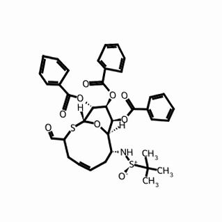 CC(C)(C)[S@@+]([O-])N[C@@H]1C/C=C\CC(C=O)S[C@H]2O[C@H]1[C@H](OC(=O)c1ccccc1)[C@H](OC(=O)c1ccccc1)[C@H]2OC(=O)c1ccccc1